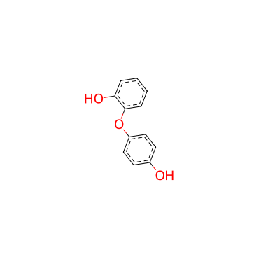 Oc1ccc(Oc2ccccc2O)cc1